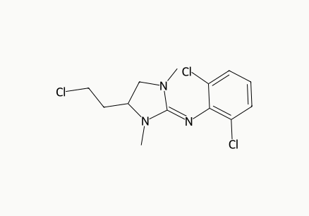 CN1CC(CCCl)N(C)C1=Nc1c(Cl)cccc1Cl